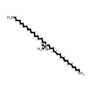 CCCCCCCCC=CCCCCCCCCN(CCCCCCCCC=CCCCCCCCC)S(N)(=O)=O